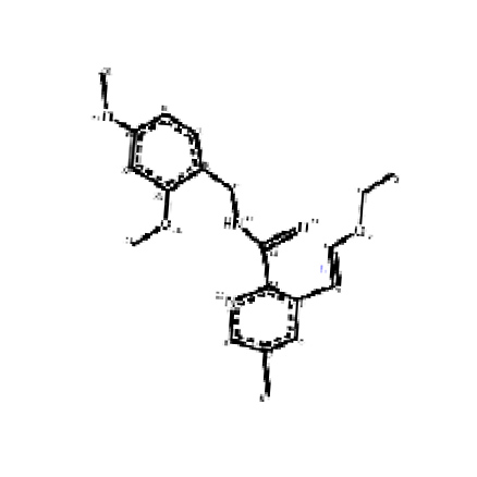 CCO/C=C/c1cc(C)cnc1C(=O)NCc1ccc(OC)cc1OC